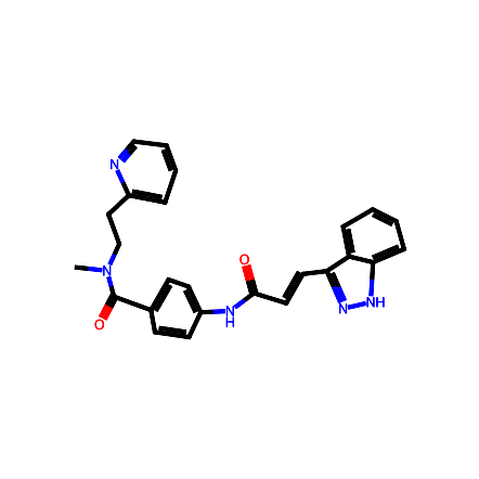 CN(CCc1ccccn1)C(=O)c1ccc(NC(=O)/C=C/c2n[nH]c3ccccc23)cc1